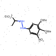 CCOC(=O)C(C)NNc1cc(OC)c(OC)c([N+](=O)[O-])c1